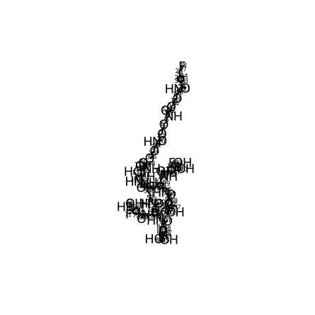 O=C(COCCOCCNC(=O)COCCOCCNC(=O)c1ccc(CCF)cc1)NCCOCCOCC(=O)N[C@@H](CC1=C(NC(=O)[C@H](CCCCNC(=O)c2cc(CNC(=O)c3ccc(BO)c(F)c3)cc(CNC(=O)c3ccc(B(O)O)c(F)c3)c2)NCc2cc(CNC(=O)c3ccc(B(O)O)c(F)c3)cc(CNC(=O)c3ccc(B(O)O)c(F)c3)c2)NCC1)C(=O)O